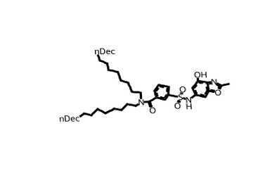 CCCCCCCCCCCCCCCCCCN(CCCCCCCCCCCCCCCCCC)C(=O)c1cccc(S(=O)(=O)Nc2cc(O)c3nc(C)oc3c2)c1